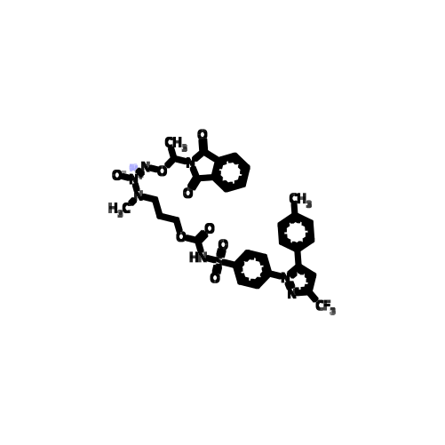 Cc1ccc(-c2cc(C(F)(F)F)nn2-c2ccc(S(=O)(=O)NC(=O)OCCCN(C)/[N+]([O-])=N\OC(C)N3C(=O)c4ccccc4C3=O)cc2)cc1